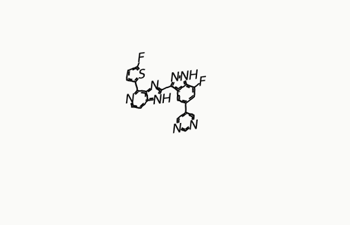 Fc1ccc(-c2nccc3[nH]c(-c4n[nH]c5c(F)cc(-c6cncnc6)cc45)nc23)s1